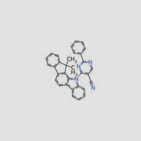 CC1(C)c2ccccc2-c2ccc3c4ccccc4n(-c4nc(-c5ccccc5)ncc4C#N)c3c21